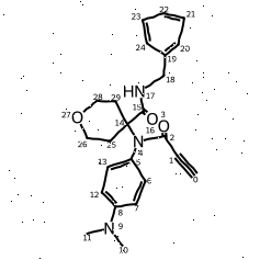 C#CC(=O)N(c1ccc(N(C)C)cc1)C1(C(=O)NCc2ccccc2)CCOCC1